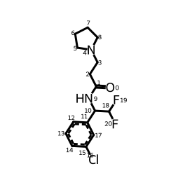 O=C(CCN1CCCC1)NC(c1cccc(Cl)c1)C(F)F